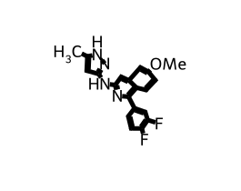 COc1ccc2c(-c3ccc(F)c(F)c3)nc(Nc3cc(C)[nH]n3)cc2c1